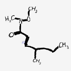 CCCC(C)/C=C/C(=O)N(C)OC